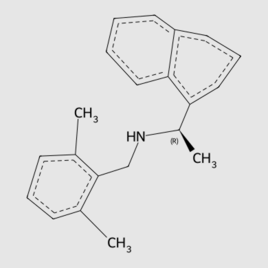 Cc1cccc(C)c1CN[C@H](C)c1cccc2ccccc12